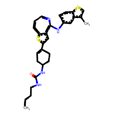 CCCCNC(=O)NC1CC=C(c2cc3c(s2)=C=CC=NC=3Nc2ccc3scc(C)c3c2)CC1